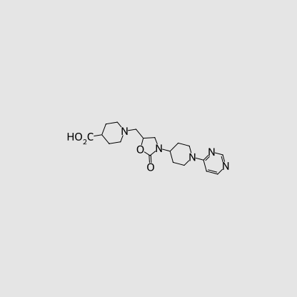 O=C(O)C1CCN(CC2CN(C3CCN(c4ccncn4)CC3)C(=O)O2)CC1